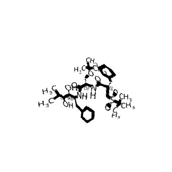 CC(C)[C@H](O)[C@H](O)[C@H](CC1CCCCC1)NC(=O)[C@H](COC(C)(C)C)NC(=O)[C@H](Cc1ccccc1)CS(=O)(=O)C(C)(C)C